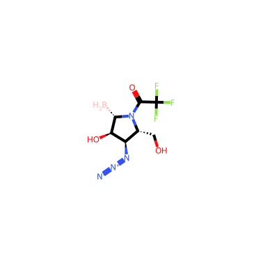 B[C@H]1[C@H](O)[C@H](N=[N+]=[N-])[C@@H](CO)N1C(=O)C(F)(F)F